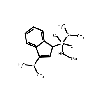 CN(C)C1=C[CH]([Ti]([Cl])([Cl])([NH]C(C)(C)C)[SiH](C)C)c2ccccc21